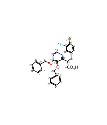 O=C(O)C(Cc1ccc(Br)c(F)c1)c1ncnc(OCc2ccccc2)c1OCc1ccccc1